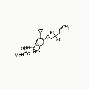 C=CCC(CC)(CC)COc1cc2nnc(NS(=O)(=O)NC)n2cc1C1CC1